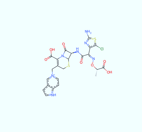 C[C@H](O/N=C(\C(=O)N[C@@H]1C(=O)N2C(C(=O)O)=C(C[n+]3ccc4[nH]ccc4c3)CSC12)c1nc(N)sc1Cl)C(=O)O